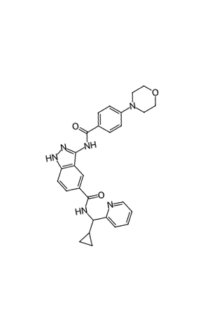 O=C(Nc1n[nH]c2ccc(C(=O)NC(c3ccccn3)C3CC3)cc12)c1ccc(N2CCOCC2)cc1